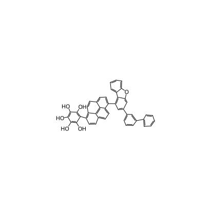 Oc1c(O)c(O)c(-c2ccc3ccc4c(-c5cc(-c6cccc(-c7ccccc7)c6)cc6oc7ccccc7c56)ccc5ccc2c3c54)c(O)c1O